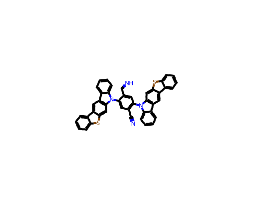 N#Cc1cc(-n2c3ccccc3c3cc4c(cc32)sc2ccccc24)c(C=N)cc1-n1c2ccccc2c2cc3c(cc21)sc1ccccc13